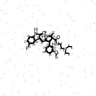 CCN(CC)CCNC(=O)c1c(C)[nH]c(/C=C2\C(=O)Nc3ccc(F)cc32)c1-c1cccc(OC)c1